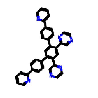 c1ccc(-c2ccc(-c3cc(-c4ccc(-c5ccccn5)cc4)c(-c4cnccn4)cc3-c3cnccn3)cc2)nc1